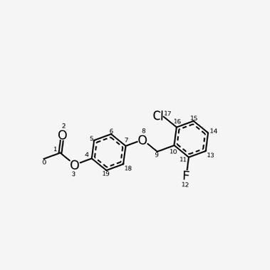 CC(=O)Oc1ccc(OCc2c(F)cccc2Cl)cc1